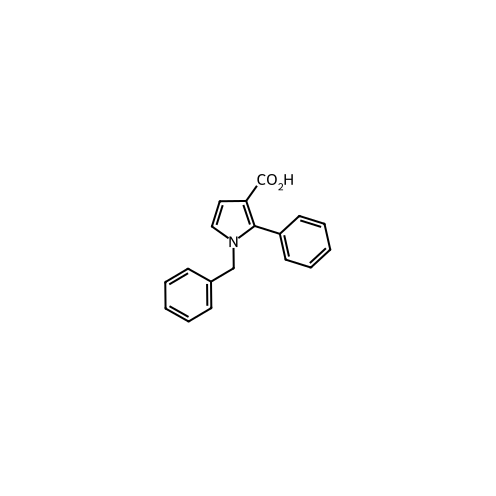 O=C(O)c1ccn(Cc2ccccc2)c1-c1ccccc1